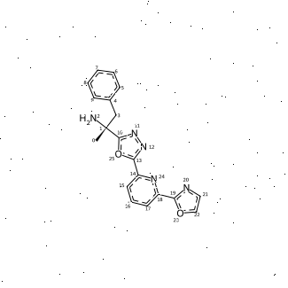 C[C@@](N)(Cc1ccccc1)c1nnc(-c2c[c]cc(-c3ncco3)n2)o1